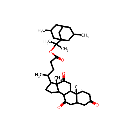 CC1CC2CC(C)CC(C(C)(C)OC(=O)CCC(C)C3CCC4C5C(=O)CC6CC(=O)CCC6(C)C5CC(=O)C34C)(C1)C2